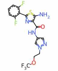 Nc1sc(-c2c(F)cccc2F)nc1C(=O)Nc1cnn(CCOC(F)(F)F)c1